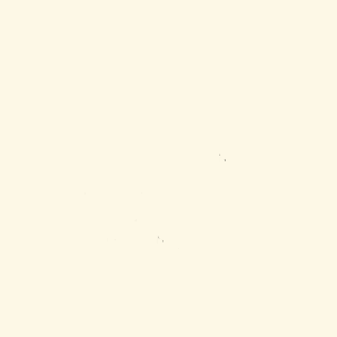 Cc1cc(-c2ccc(C)c(C(N)=O)c2)no1